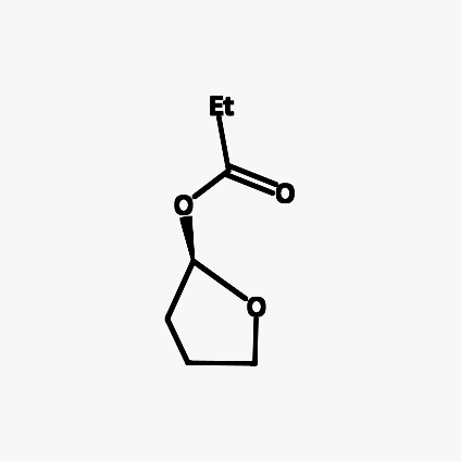 CCC(=O)O[C@@H]1CCCO1